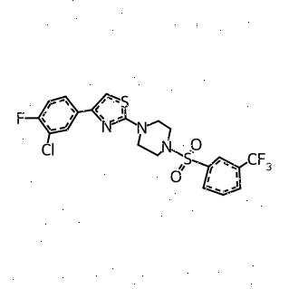 O=S(=O)(c1cccc(C(F)(F)F)c1)N1CCN(c2nc(-c3ccc(F)c(Cl)c3)cs2)CC1